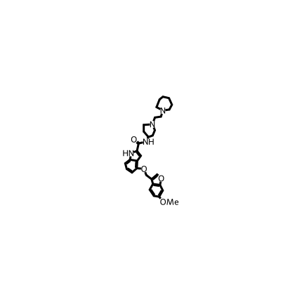 COc1ccc2c(COc3cccc4[nH]c(C(=O)NC5CCN(CCN6CCCCCC6)CC5)cc34)coc2c1